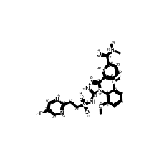 COc1cccc(OC)c1-n1c(NS(=O)(=O)CCc2ncc(F)cn2)nnc1-c1cccc(C(=O)N(C)C)n1